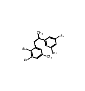 CC(C)c1cc(C(F)(F)F)cc(CC(C)c2cc(C(C)(C)C)cc(C(C)(C)C)c2)c1C(C)(C)C